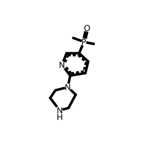 CP(C)(=O)c1ccc(N2CCNCC2)nc1